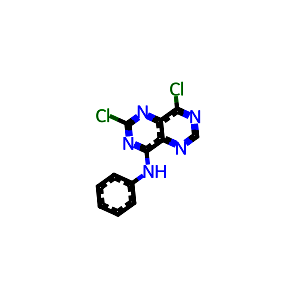 Clc1nc(Nc2ccccc2)c2ncnc(Cl)c2n1